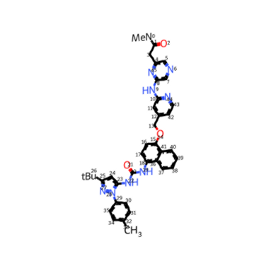 CNC(=O)Cc1cncc(Nc2cc(COc3ccc(NC(=O)Nc4cc(C(C)(C)C)nn4-c4ccc(C)cc4)c4ccccc34)ccn2)n1